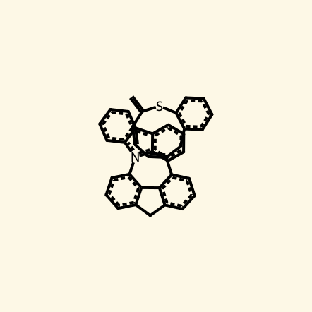 C=C1/C=C\C=C(\c2cccc3c2-c2c(cccc2-n2c4ccccc4c4ccccc42)C3)Cc2ccccc2S1